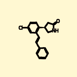 O=C1C[C@H](c2ccc(Cl)cc2C=Cc2ccccc2)CN1